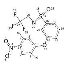 Cc1cc([N+](=O)[O-])c(C)cc1Oc1cccc(S(C)(=O)=NCC(F)(F)F)c1